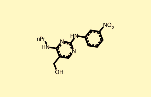 [CH2]CCNc1nc(Nc2cccc([N+](=O)[O-])c2)ncc1CO